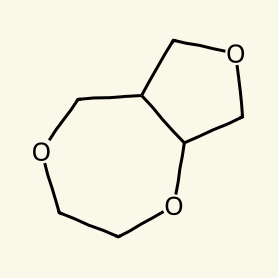 C1COC2COCC2CO1